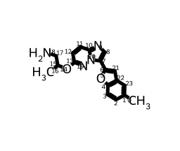 Cc1ccc2oc(-c3cnc4ccc(OC(C)CN)nn34)cc2c1